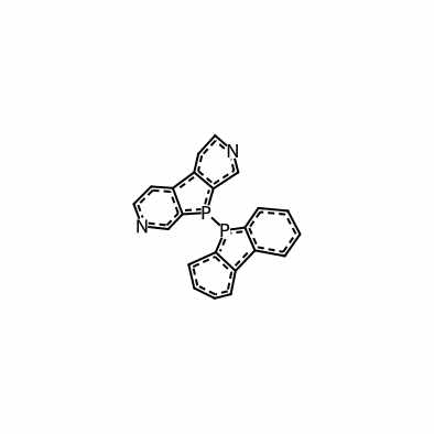 c1ccc2c(c1)c1ccccc1p2-p1c2cnccc2c2ccncc21